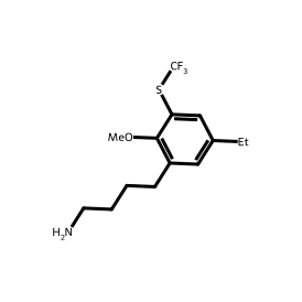 CCc1cc(CCCCN)c(OC)c(SC(F)(F)F)c1